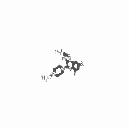 Cc1nc2c(N3CCN(C)CC3)nc3c(F)cc(Br)cc3n2n1